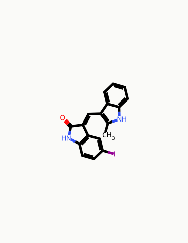 Cc1[nH]c2ccccc2c1C=C1C(=O)Nc2ccc(I)cc21